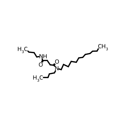 CCCCCCCCCCCCN(CCCC)C(=O)CCC(=O)NCCCC